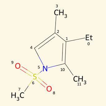 CCc1c(C)cn(S(C)(=O)=O)c1C